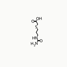 NC(=O)NCCCSCC(=O)O